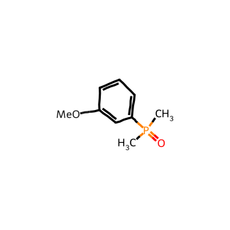 COc1cccc(P(C)(C)=O)c1